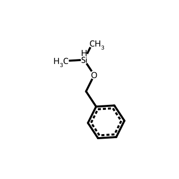 C[SiH](C)OCc1ccccc1